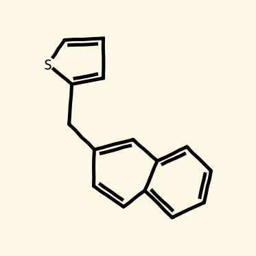 c1csc(Cc2ccc3ccccc3c2)c1